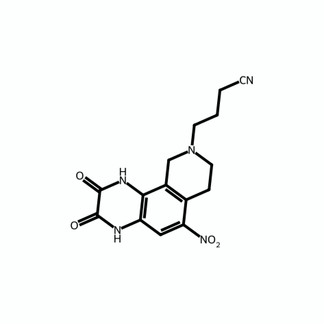 N#CCCCN1CCc2c([N+](=O)[O-])cc3[nH]c(=O)c(=O)[nH]c3c2C1